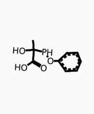 CC(O)(POc1ccccc1)C(=O)O